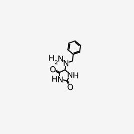 NN(Cc1ccccc1)C1NC(=O)NC1=O